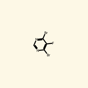 Fc1c(Br)ncnc1Br